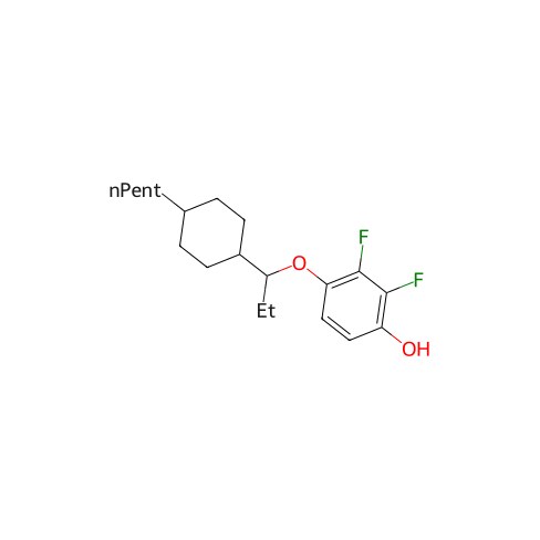 CCCCCC1CCC(C(CC)Oc2ccc(O)c(F)c2F)CC1